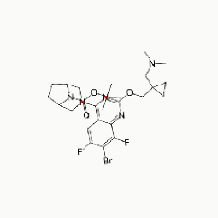 CN(C)CC1(COc2nc(N3CC4CCC(C3)N4C(=O)OC(C)(C)C)c3cc(F)c(Br)c(F)c3n2)CC1